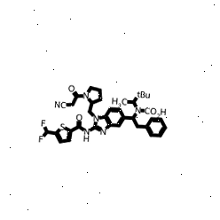 CC(N(C(=O)O)C(Cc1ccccc1)c1ccc2c(c1)nc(NC(=O)c1ccc(C(F)F)s1)n2CC1CCCN1C(=O)CC#N)C(C)(C)C